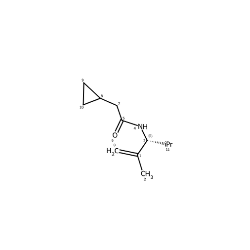 C=C(C)[C@H](NC(=O)CC1CC1)C(C)C